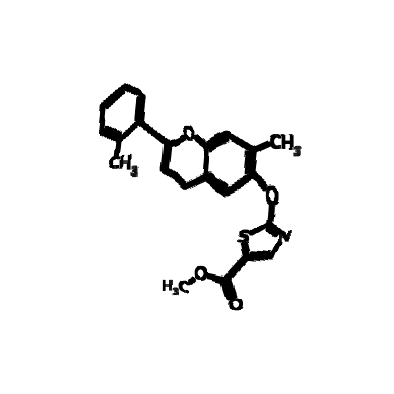 COC(=O)c1cnc(Oc2cc3c(cc2C)OC(c2ccccc2C)CC3)s1